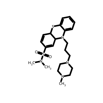 CN1CCN(CCCN2c3ccccc3SC3C=CC(S(=O)(=O)N(C)C)=CC32)CC1